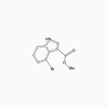 CC(C)(C)OC(=O)c1c[nH]c2cccc(Br)c12